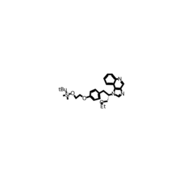 CCOC[C@H](Cc1ccc(OCCO[Si](C)(C)C(C)(C)C)cc1)n1cnc2cnc3ccccc3c21